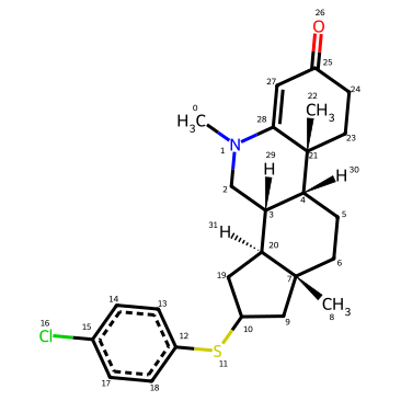 CN1C[C@@H]2[C@@H](CC[C@]3(C)CC(Sc4ccc(Cl)cc4)C[C@@H]23)[C@@]2(C)CCC(=O)C=C12